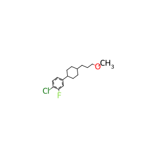 COCCCC1CCC(c2ccc(Cl)c(F)c2)CC1